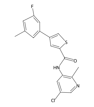 Cc1cc(F)cc(-c2csc(C(=O)Nc3cc(Cl)cnc3C)c2)c1